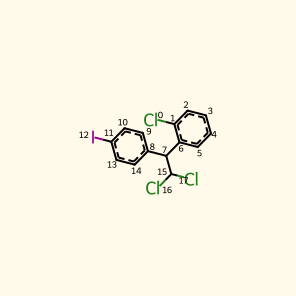 Clc1ccccc1C(c1ccc(I)cc1)C(Cl)Cl